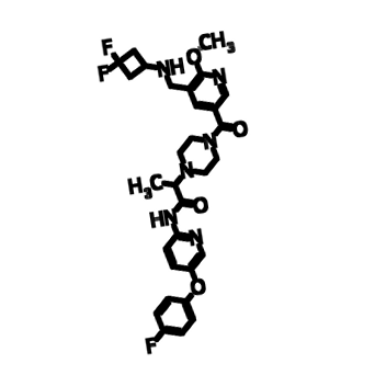 COc1ncc(C(=O)N2CCN(C(C)C(=O)Nc3ccc(Oc4ccc(F)cc4)cn3)CC2)cc1CNC1CC(F)(F)C1